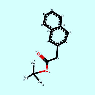 [3H]C([3H])([3H])OC(=O)Cc1ccc2ccccc2c1